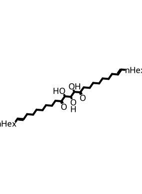 CCCCCCC=CCCCCCCCC(=O)C(O)C(O)C(O)C(=O)CCCCCCCC=CCCCCCC